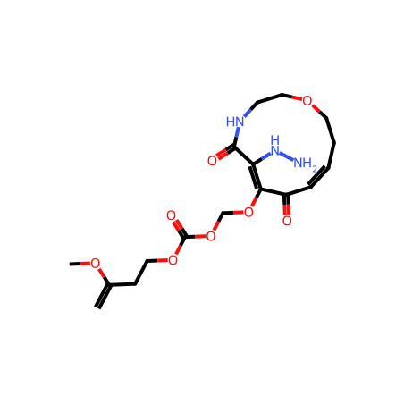 C=C(CCOC(=O)OCO/C1=C(/NN)C(=O)NCCOCC/C=C\C1=O)OC